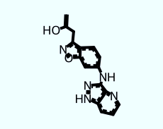 C=C(O)Cc1noc2cc(Nc3n[nH]c4cccnc34)ccc12